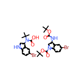 CC(C)(C)N(C(=O)O)c1c[nH]c2ccc(Br)cc12.CC(C)(C)OC(=O)Nc1cn(C(=O)OC(C)(C)C)c2ccc(Br)cc12